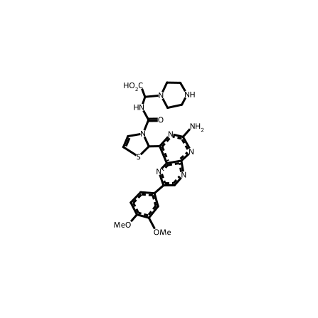 COc1ccc(-c2cnc3nc(N)nc(C4SC=CN4C(=O)NC(C(=O)O)N4CCNCC4)c3n2)cc1OC